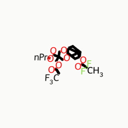 CCCOC(=O)C1(COC(=O)CC(F)(F)F)COC2(OC1)C1CC3CC2CC(OC(=O)C(C)(F)F)(C3)C1